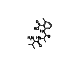 Cc1cccc(NC(=O)C(C)NC(=O)C(N)C(C)C)c1C(=O)O